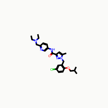 CCN(CC)Cc1ccc(NC(=O)c2cc(C)n(Cc3cc(Cl)ccc3OCC(C)C)n2)cn1